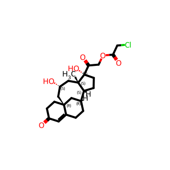 C[C@]12C[C@@H](O)C[C@]34CCC(=O)C=C3CC[C@H](C4)[C@@H]1CC[C@]2(O)C(=O)COC(=O)CCl